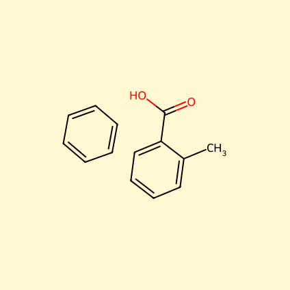 Cc1ccccc1C(=O)O.c1ccccc1